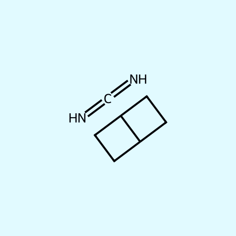 C1CC2CCC12.N=C=N